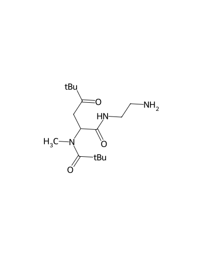 CN(C(=O)C(C)(C)C)C(CC(=O)C(C)(C)C)C(=O)NCCN